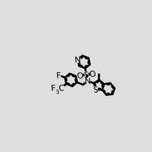 Cc1c(N(Cc2ccc(F)c(C(F)(F)F)c2)S(=O)(=O)c2cccnc2)sc2ccccc12